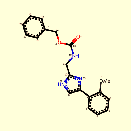 COc1ccccc1-c1c[nH]c(CNC(=O)OCc2ccccc2)n1